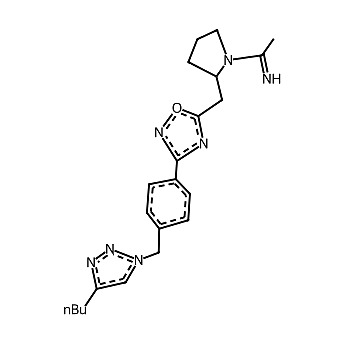 CCCCc1cn(Cc2ccc(-c3noc(CC4CCCN4C(C)=N)n3)cc2)nn1